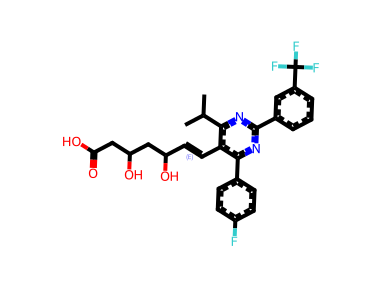 CC(C)c1nc(-c2cccc(C(F)(F)F)c2)nc(-c2ccc(F)cc2)c1/C=C/C(O)CC(O)CC(=O)O